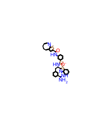 N=C(N)c1cccc(CC(N[S+]([O-])c2cccc(NC(=O)c3cc4/c(s3)=N\C=C/CC\C=4)c2)c2nc3ccccc3s2)c1